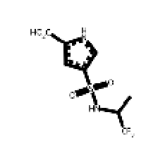 CC(NS(=O)(=O)c1c[nH]c(C(=O)O)c1)C(F)(F)F